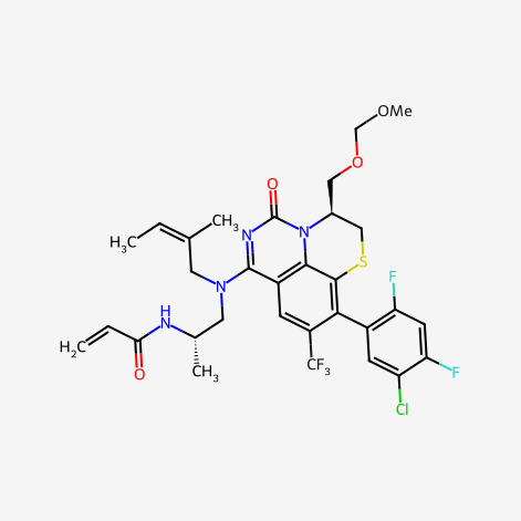 C=CC(=O)N[C@@H](C)CN(C/C(C)=C\C)c1nc(=O)n2c3c(c(-c4cc(Cl)c(F)cc4F)c(C(F)(F)F)cc13)SC[C@@H]2COCOC